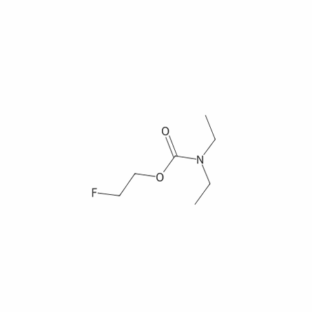 CCN(CC)C(=O)OCCF